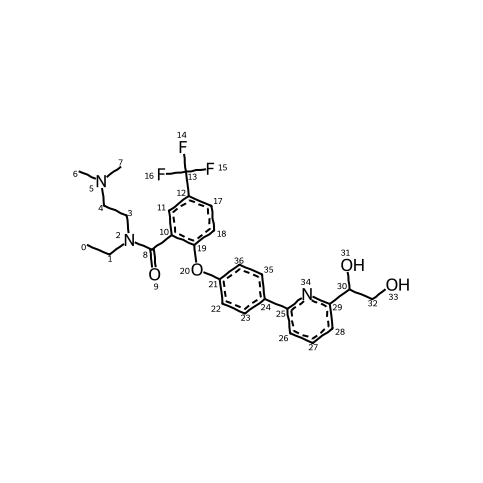 CCN(CCN(C)C)C(=O)c1cc(C(F)(F)F)ccc1Oc1ccc(-c2cccc(C(O)CO)n2)cc1